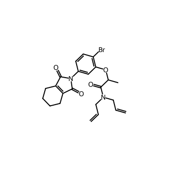 C=CCN(CC=C)C(=O)C(C)Oc1cc(N2C(=O)C3=C(CCCC3)C2=O)ccc1Br